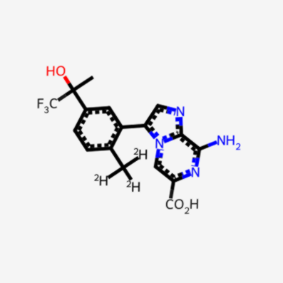 [2H]C([2H])([2H])c1ccc(C(C)(O)C(F)(F)F)cc1-c1cnc2c(N)nc(C(=O)O)cn12